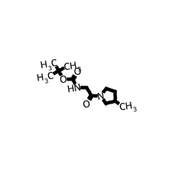 CC1CCN(C(=O)CNC(=O)OC(C)(C)C)C1